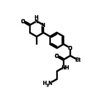 CCC(Oc1ccc(C2=NNC(=O)CC2C)cc1)C(=O)NCCN